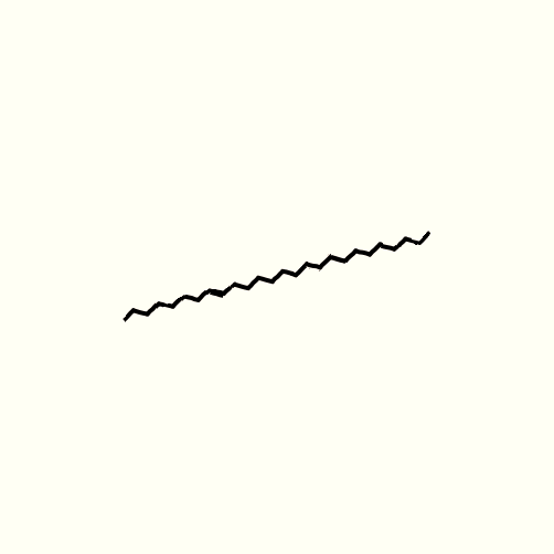 CCCCCCC/C=C/CCCCCCCCCCCCCCCCC